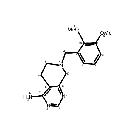 COc1cccc(CN2CCc3c(N)ncnc3C2)c1OC